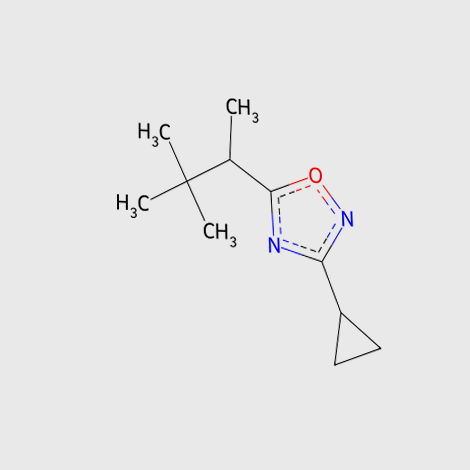 CC(c1nc(C2CC2)no1)C(C)(C)C